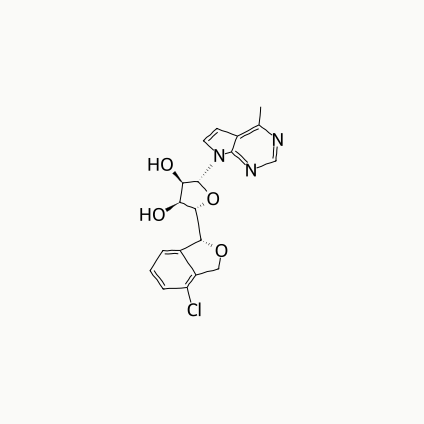 Cc1ncnc2c1ccn2[C@@H]1O[C@H]([C@@H]2OCc3c(Cl)cccc32)[C@@H](O)[C@H]1O